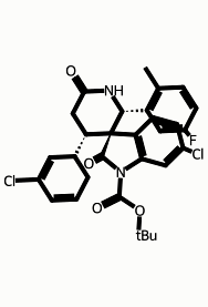 Cc1ccc(F)cc1[C@H]1NC(=O)C[C@@H](C2C=C(Cl)C=CC2)[C@]12C(=O)N(C(=O)OC(C)(C)C)c1cc(Cl)ccc12